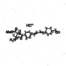 COC(=O)C(NC(=O)c1ccc(C#CC#CC2CCC(CO)CC2)cc1)C(C)(C)N.Cl